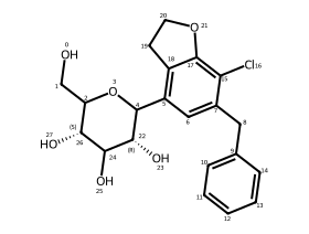 OCC1OC(c2cc(Cc3ccccc3)c(Cl)c3c2CCO3)[C@H](O)C(O)[C@@H]1O